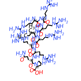 CC[C@H](C)[C@H](NC(=O)[C@H](CCCNC(=N)N)NC(=O)[C@H](CCCNC(=N)N)NC(=O)[C@@H](N)CCCNC(=N)N)C(=O)N[C@@H](CCCNC(=N)N)C(=O)N[C@@H](CCCNC(=N)N)C(=O)N[C@@H](CCCNC(=N)N)C(=O)N[C@@H](CCC(N)=O)C(=O)N1CCC[C@H]1C(=O)O